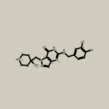 O=c1[nH]c(NCc2ccc(Cl)c(Cl)c2)nc2cnn(CC3(O)CCNCC3)c12